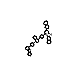 c1ccc2cc3c(cc2c1)nc1c2sc4cc5ccccc5cc4c2cc(-c2ccc(-c4ccc(-c5ccc(-c6cccc7c6oc6ccccc67)cc5)c5ccccc45)cc2)n31